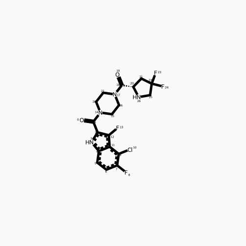 O=C(c1[nH]c2ccc(F)c(Cl)c2c1F)N1CCN(C(=O)[C@@H]2CC(F)(F)CN2)CC1